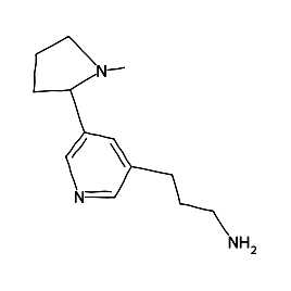 CN1CCCC1c1cncc(CCCN)c1